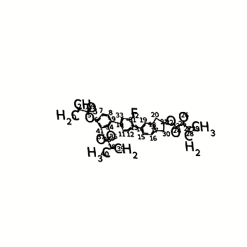 C=C(C)C(=O)Oc1ccc(-c2ccc(-c3ccc4c(c3)CC(OC(=O)C(=O)C(=C)C)C4)c(F)c2)c(OC(=O)C(=C)C)c1